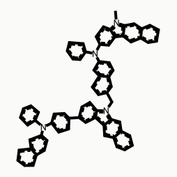 Cn1c2ccc(N(c3ccccc3)c3ccc4cc(Cn5c6ccc(-c7ccc(N(c8ccccc8)c8ccc9ccccc9c8)cc7)cc6c6cc7ccccc7cc65)ccc4c3)cc2c2cc3ccccc3cc21